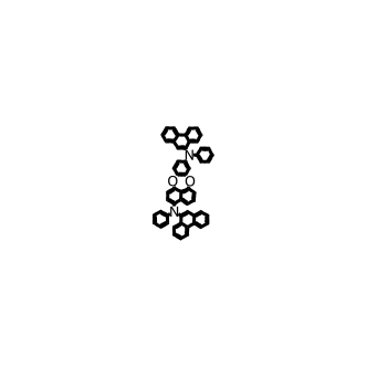 c1ccc(N(c2ccc3c(c2)Oc2cccc4c(N(c5ccccc5)c5cc6ccccc6c6ccccc56)ccc(c24)O3)c2cc3ccccc3c3ccccc23)cc1